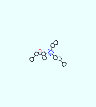 C1=C(c2ccccc2)CCc2cc(-c3nc(-c4ccc5ccccc5c4)nc(-c4cc5oc6ccc(-c7ccccc7)cc6c5c5ccccc45)n3)ccc21